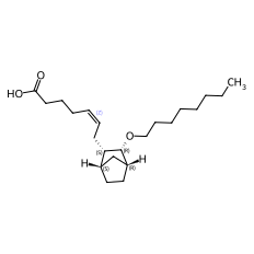 CCCCCCCCO[C@@H]1[C@@H]2CC[C@@H](C2)[C@@H]1C/C=C\CCCC(=O)O